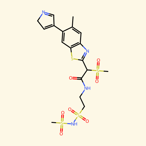 Cc1cc2nc(C(C(=O)NCCS(=O)(=O)NS(C)(=O)=O)S(C)(=O)=O)sc2cc1C1=CCN=C1